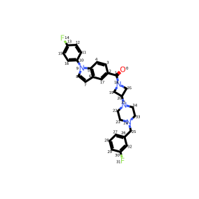 O=C(c1ccc2c(ccn2-c2ccc(F)cc2)c1)N1CC(N2CCN(Cc3cccc(F)c3)CC2)C1